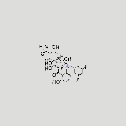 NC(=O)C1C(=O)[C@@]2(O)C(O)=C3C(=O)c4c(O)cccc4/C(=C\c4cc(F)cc(F)c4)[C@H]3[C@H](O)[C@H]2CC1O